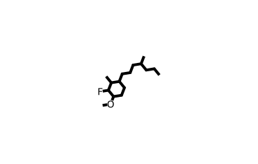 CCCC(C)CCCC1CCC(OC)C(F)C1C